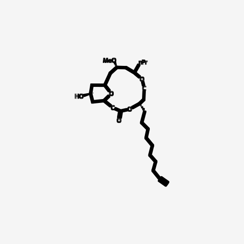 C#CCCCCCCCC[C@H]1CCOC(CCC)C[C@@H](OC)CC2C[C@H](O)CC(CC(=O)O1)O2